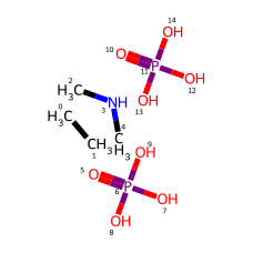 CC.CNC.O=P(O)(O)O.O=P(O)(O)O